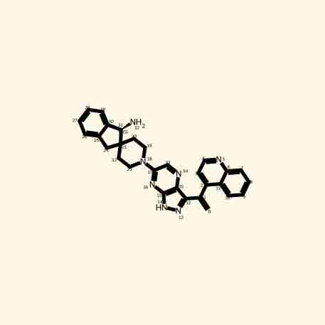 C=C(c1ccnc2ccccc12)c1n[nH]c2nc(N3CCC4(CC3)Cc3ccccc3[C@H]4N)cnc12